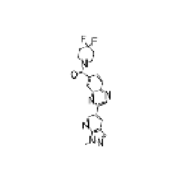 Cn1ncc2cc(-c3cnc4ccc(C(=O)N5CCC(F)(F)CC5)cc4n3)cnc21